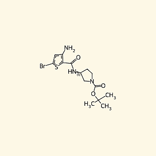 CC(C)(C)OC(=O)N1CC[C@H](NC(=O)c2sc(Br)cc2N)C1